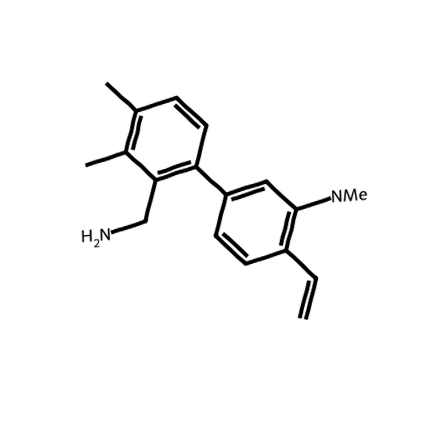 C=Cc1ccc(-c2ccc(C)c(C)c2CN)cc1NC